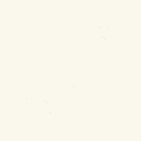 CCCCCCNc1ccc2c3c(cccc13)C(=O)N(CCN(C)C)C2=O